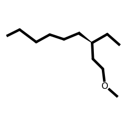 CCCCCC[C@@H](CC)CCOC